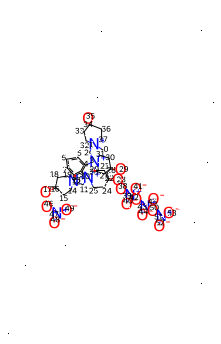 C[N+]1(C[N+]2(c3ccccc3[N+]3(C[N+]4(C)CCC(=O)CC4)CCC(=O)CC3)CCC(=O)CC2)CCC(=O)CC1.O=[N+]([O-])[O-].O=[N+]([O-])[O-].O=[N+]([O-])[O-].O=[N+]([O-])[O-]